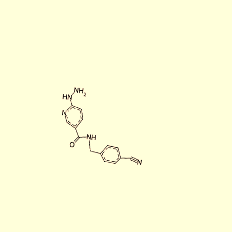 N#Cc1ccc(CNC(=O)c2ccc(NN)nc2)cc1